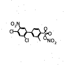 Cc1cc(-c2cc([N+](=O)[O-])c(Cl)cc2Cl)ccc1S(=O)(=O)O[N+](=O)[O-]